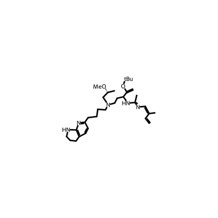 C=C/C(C)=C\N=C(/C)NC(CCN(CCCCc1ccc2c(n1)NCCC2)C[C@@H](C)OC)C(=C)OC(C)(C)C